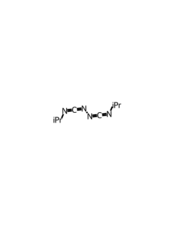 CC(C)N=C=NN=C=NC(C)C